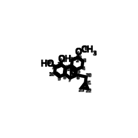 CO[C@@H]1CCC2C3Cc4ccc(O)c(O)c4[C@@]2(CCN3CC2CC2)C1